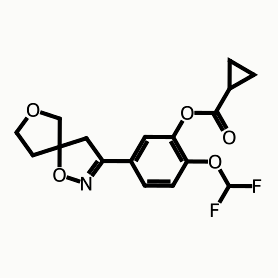 O=C(Oc1cc(C2=NOC3(CCOC3)C2)ccc1OC(F)F)C1CC1